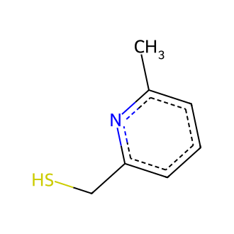 Cc1cccc(CS)n1